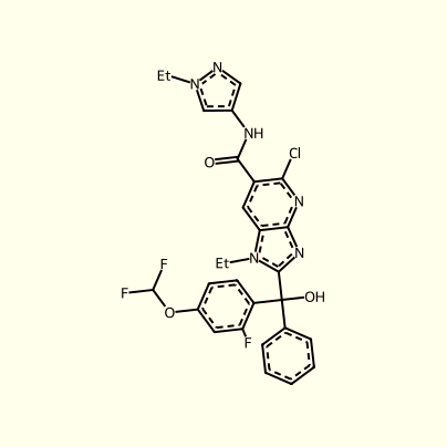 CCn1cc(NC(=O)c2cc3c(nc2Cl)nc(C(O)(c2ccccc2)c2ccc(OC(F)F)cc2F)n3CC)cn1